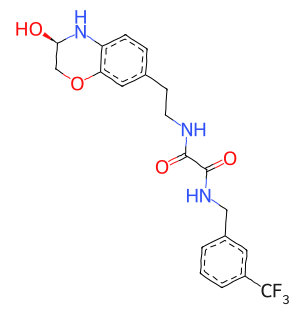 O=C(NCCc1ccc2c(c1)OC[C@@H](O)N2)C(=O)NCc1cccc(C(F)(F)F)c1